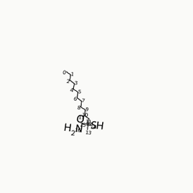 CCCCCCCCCCCCC(C)(S)C(N)=O